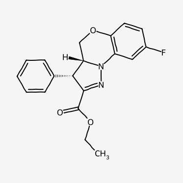 CCOC(=O)C1=NN2c3cc(F)ccc3OC[C@H]2[C@H]1c1ccccc1